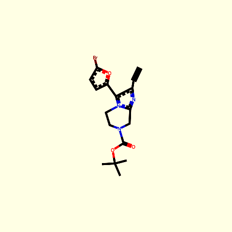 C#Cc1nc2n(c1-c1ccc(Br)o1)CCN(C(=O)OC(C)(C)C)C2